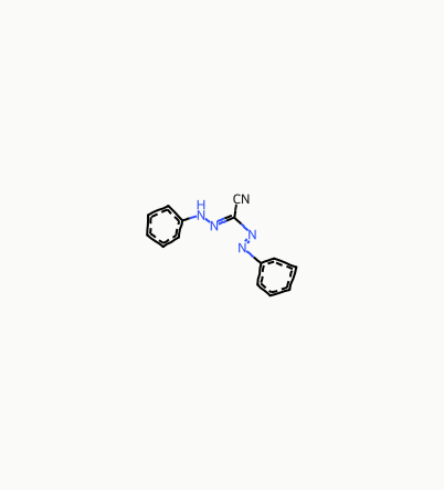 N#CC(N=Nc1ccccc1)=NNc1ccccc1